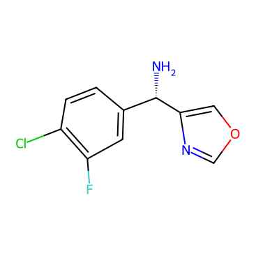 N[C@@H](c1ccc(Cl)c(F)c1)c1cocn1